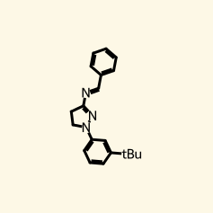 CC(C)(C)c1cccc(N2CCC(N=Cc3ccccc3)=N2)c1